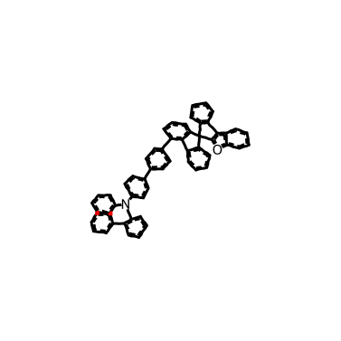 c1ccc(-c2ccccc2N(c2ccccc2)c2ccc(-c3ccc(-c4cccc5c4-c4ccccc4C54c5ccccc5-c5c4oc4ccccc54)cc3)cc2)cc1